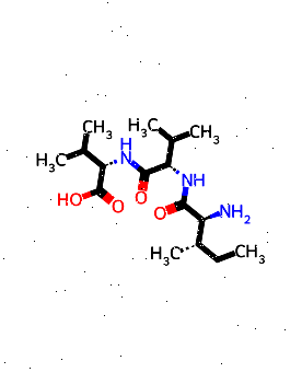 CC[C@H](C)[C@H](N)C(=O)N[C@H](C(=O)N[C@H](C(=O)O)C(C)C)C(C)C